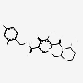 C[C@H]1CCSC2Cn3cc(C(=O)NCc4ccc(F)cc4F)c(=O)c(O)c3C(=O)N21